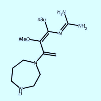 C=C(/C(OC)=C(/CCCC)N=C(N)N)N1CCCNCC1